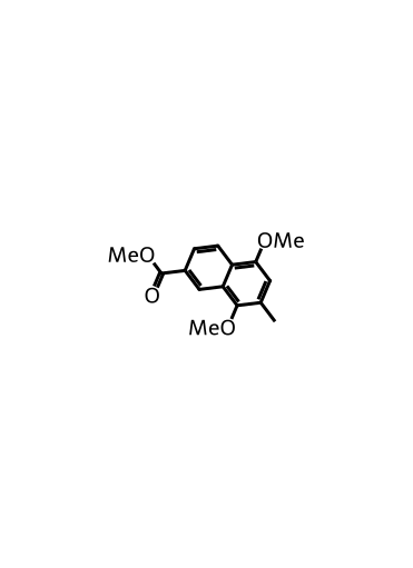 COC(=O)c1ccc2c(OC)cc(C)c(OC)c2c1